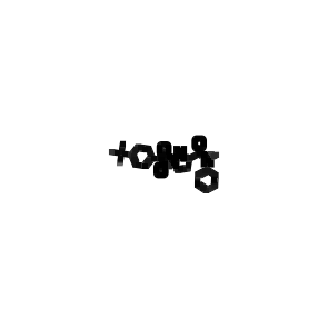 CN(C(=O)c1ccn(S(=O)(=O)c2ccc(C(C)(C)C)cc2)n1)c1ccccc1